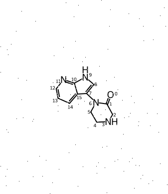 O=C1CNCCN1c1c[nH]c2ncccc12